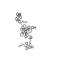 C=C/C=C(\C)[C@@H](C[C@@H]1CC[C@@H](C)[C@](O)(C(=O)C(=O)N2CCCC[C@H]2C(=O)O[C@@H](CC(=O)[C@H](C)/C=C(\C)[C@@H](O)[C@@H](OC)C(=O)[C@H](C)C[C@H](C)/C=C/C)[C@H](C)C[C@@H]2CC[C@@H](O)[C@H](OC)C2)O1)O[C@@H]1CO[C@H]2[C@@H]1OC[C@H]2O